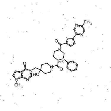 Cc1cnc(-c2ccc(C(=O)N3CC[C@@H](C(=O)N4CCC(O)(Cn5cnc6c(ccn6C)c5=O)CC4)[C@H](c4ccccc4)C3)s2)cn1